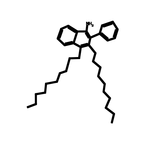 CCCCCCCCCCc1c(-c2ccccc2)c(N)c2ccccc2c1CCCCCCCCCC